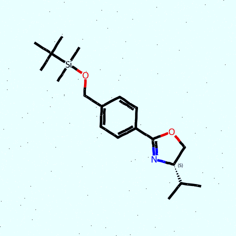 CC(C)[C@H]1COC(c2ccc(CO[Si](C)(C)C(C)(C)C)cc2)=N1